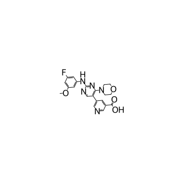 COc1cc(F)cc(Nc2ncc(-c3cncc(C(=O)O)c3)c(N3CCOCC3)n2)c1